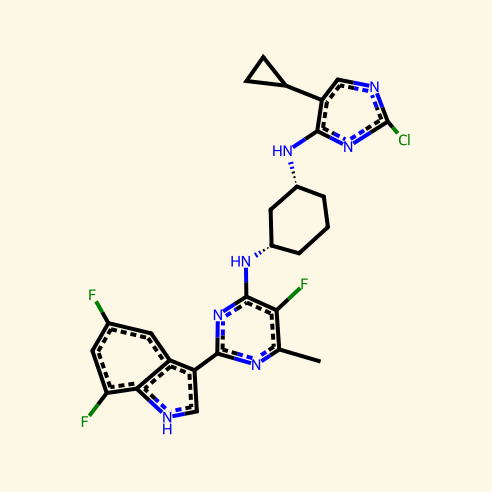 Cc1nc(-c2c[nH]c3c(F)cc(F)cc23)nc(N[C@H]2CCC[C@@H](Nc3nc(Cl)ncc3C3CC3)C2)c1F